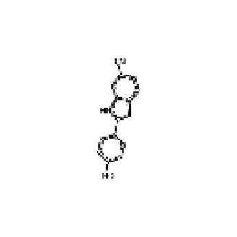 N#Cc1ccc2cc(-c3ccc(N=O)cc3)[nH]c2c1